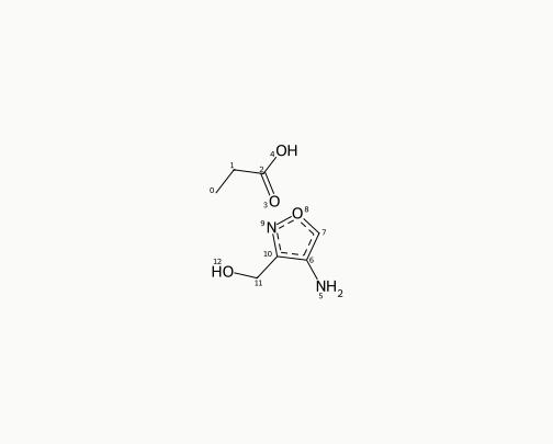 CCC(=O)O.Nc1conc1CO